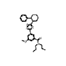 CCCN(CCC)C(=O)c1cc(OC)cc(-c2nnc(C3CCCCC3c3ccccc3)o2)c1